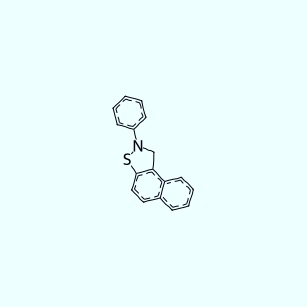 c1ccc(N2Cc3c(ccc4ccccc34)S2)cc1